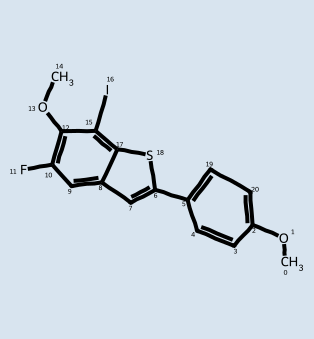 COc1ccc(-c2cc3cc(F)c(OC)c(I)c3s2)cc1